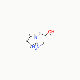 CN.OCCN1CCCC1